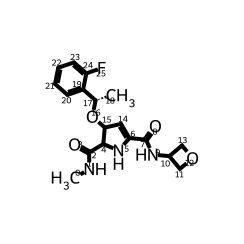 CNC(=O)C1NC(C(=O)NC2COC2)=CC1O[C@@H](C)c1ccccc1F